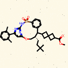 COC(=O)C1CC2(C1)CC(C1c3cccc(c3)S(=O)(=O)Nc3nc(cc(-c4c(C)cccc4C)n3)OC[C@H]1CCC(C)(C)C)C2